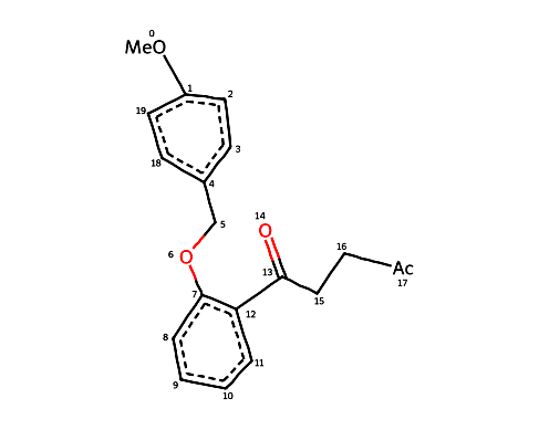 COc1ccc(COc2ccccc2C(=O)CCC(C)=O)cc1